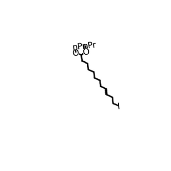 CCCOC(CCCCCCC/C=C/CCI)OCCC